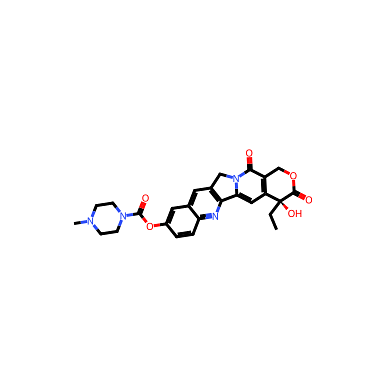 CC[C@@]1(O)C(=O)OCc2c1cc1n(c2=O)Cc2cc3cc(OC(=O)N4CCN(C)CC4)ccc3nc2-1